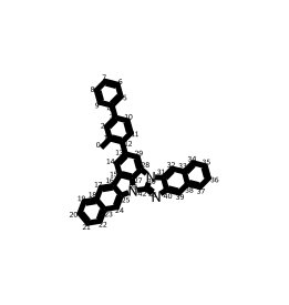 Cc1cc(-c2ccccc2)ccc1-c1cc2c3cc4ccccc4cc3n3c2c(c1)n1c2cc4ccccc4cc2nc13